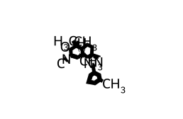 [C-]#[N+]C1=C[C@]2(C)c3nc(-c4cccc(C)c4)ncc3CC[C@H]2C(C)(C)C1=O